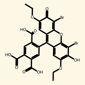 CCOc1cc2c(-c3cc(C(=O)O)c(C(=O)O)cc3C(=O)O)c3cc(OCC)c(=O)c(Br)c-3oc2c(Br)c1O